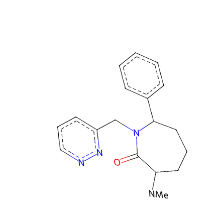 CNC1CCCC(c2ccccc2)N(Cc2cccnn2)C1=O